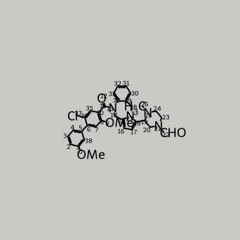 COc1cccc(-c2cc(OC)c(C(=O)N3Cc4ccc(C5CN(C=O)CCN5C)n4Cc4ccccc43)cc2Cl)c1